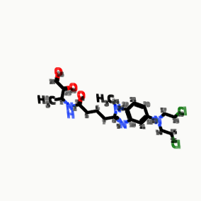 CC(NC(=O)CCCc1nc2cc(N(CCCl)CCCl)ccc2n1C)C(=O)C=O